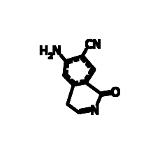 N#Cc1cc2c(cc1N)CC=NC2=O